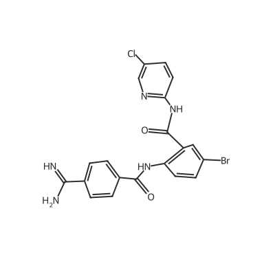 N=C(N)c1ccc(C(=O)Nc2ccc(Br)cc2C(=O)Nc2ccc(Cl)cn2)cc1